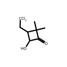 CC1(C)C(=O)C(O)C1CC(Cl)(Cl)Cl